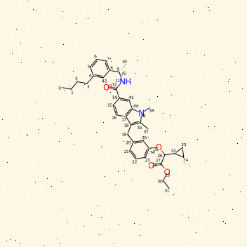 CCCCc1cccc([C@H](C)NC(=O)c2ccc3c(Cc4cccc(OC(C(=O)OCC)C5CC5)c4)c(C)n(C)c3c2)c1